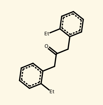 CCc1ccccc1CC(=O)Cc1ccccc1CC